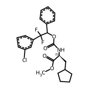 COC(=O)[C@H](CC1CCCC1)NC(=O)OC(c1ccccc1)C(F)(F)c1cccc(Cl)c1